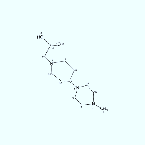 CN1CCN(C2CCN(CC(=O)O)CC2)CC1